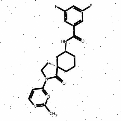 Cc1nccc(N2CC[C@]3(CCC[C@H](NC(=O)c4cc(F)cc(F)c4)C3)C2=O)n1